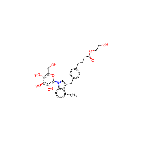 Cc1cccc2c1c(Cc1ccc(CCCC(=O)OCCO)cc1)cn2[C@@H]1O[C@H](CO)[C@@H](O)[C@H](O)[C@H]1O